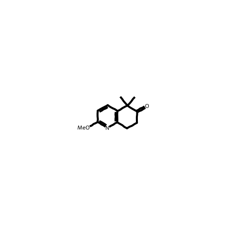 COc1ccc2c(n1)CCC(=O)C2(C)C